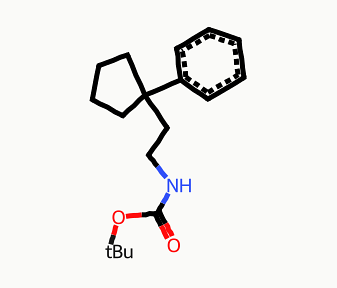 CC(C)(C)OC(=O)NCCC1(c2ccccc2)CCCC1